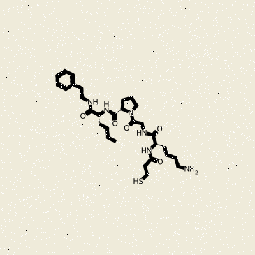 CCCC[C@@H](NC(=O)[C@@H]1CCCN1C(=O)CNC(=O)[C@H](CCCCN)NC(=O)CCS)C(=O)NCCc1ccccc1